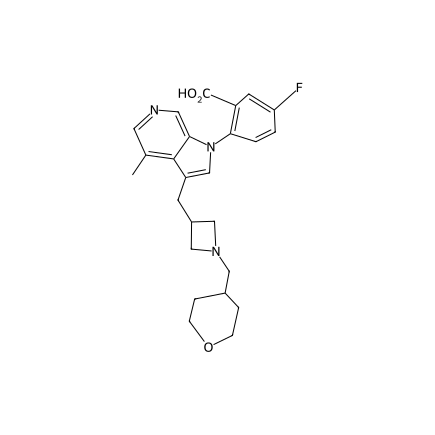 Cc1cncc2c1c(CC1CN(CC3CCOCC3)C1)cn2-c1ccc(F)cc1C(=O)O